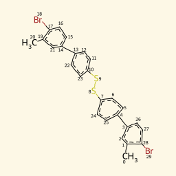 Cc1cc(-c2ccc(SSc3ccc(-c4ccc(Br)c(C)c4)cc3)cc2)ccc1Br